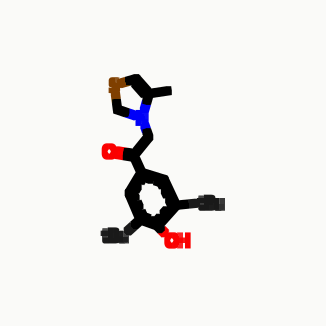 CC1=CSCN1CC(=O)c1cc(C(C)(C)C)c(O)c(C(C)(C)C)c1